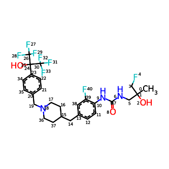 CC(O)(CF)CNC(=O)Nc1ccc(CC2CCN(Cc3ccc(C(O)(C(F)(F)F)C(F)(F)F)cc3)CC2)cc1F